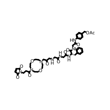 CC(=O)OCc1ccc(NC(=O)CNC(=O)[C@H](Cc2ccccc2)NC(=O)CNC(=O)CNCC(=O)CN2CCOCCN(C(=O)CCN3C(=O)C=CC3=O)CCOCC2)cc1